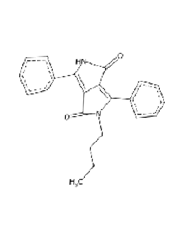 CCCCN1C(=O)C2=C(c3ccccc3)NC(=O)C2=C1c1ccccc1